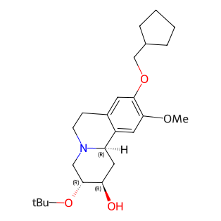 COc1cc2c(cc1OCC1CCCC1)CCN1C[C@@H](OC(C)(C)C)[C@H](O)C[C@H]21